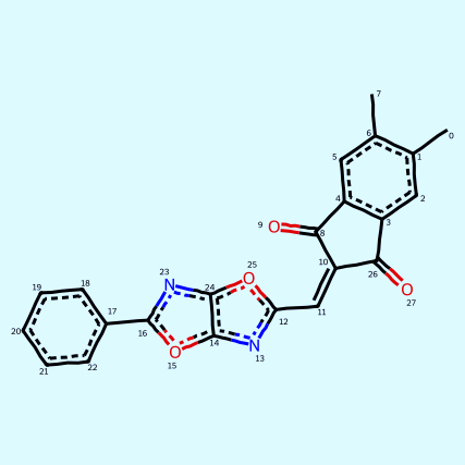 Cc1cc2c(cc1C)C(=O)C(=Cc1nc3oc(-c4ccccc4)nc3o1)C2=O